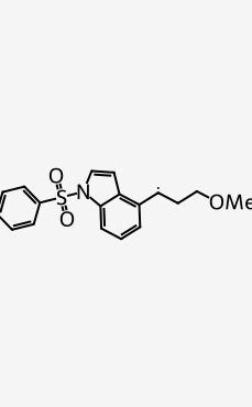 COCC[CH]c1cccc2c1ccn2S(=O)(=O)c1ccccc1